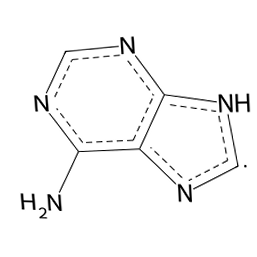 Nc1ncnc2[nH][c]nc12